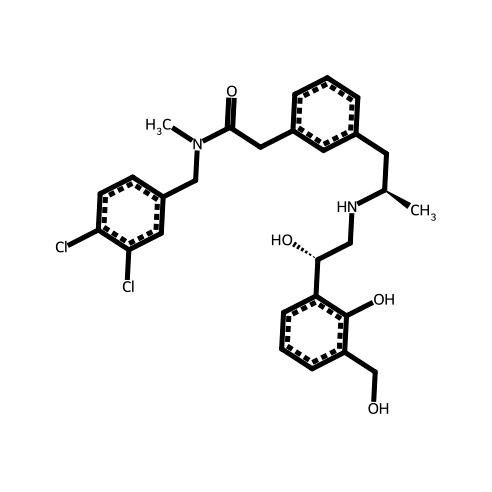 C[C@H](Cc1cccc(CC(=O)N(C)Cc2ccc(Cl)c(Cl)c2)c1)NC[C@@H](O)c1cccc(CO)c1O